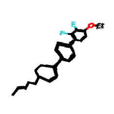 C/C=C/CCC1CCC(c2ccc(-c3ccc(OCC)c(F)c3F)cc2)CC1